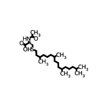 CC(=O)N[C@@H](CSCCC(C)CCCC(C)CCCC(C)CCCC(C)C)C(=O)O